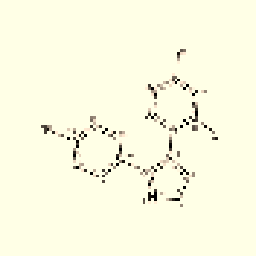 Cc1ccc(-n2ccnc2-c2ccc(F)cc2)c(C)c1